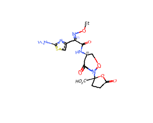 CCO/N=C(\C(=O)N[C@H]1CON(C2(C(=O)O)CCC(=O)O2)C1=O)c1csc(N)n1